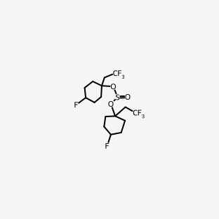 O=S(OC1(CC(F)(F)F)CCC(F)CC1)OC1(CC(F)(F)F)CCC(F)CC1